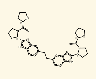 O=C([C@H]1CCCO1)N1CCC[C@H]1c1nc2cc(CCc3ccc4[nH]c([C@@H]5CCCN5C(=O)[C@H]5CCCO5)nc4c3)ccc2[nH]1